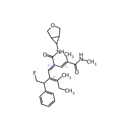 CC/C(C)=C(/C=C(\C=C(/C)C(=O)NC)C(=O)NC1C2COCC21)C(CF)c1ccccc1